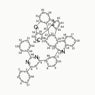 c1ccc(-c2cc(-c3cccc(-c4nc5ccccc5c5c6c(ccc45)C4(c5ccccc5Oc5ccccc54)c4ccccc4-6)c3)nc(-c3ccccc3)n2)cc1